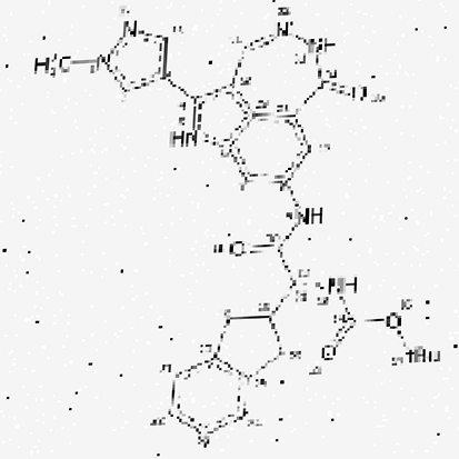 Cn1cc(-c2[nH]c3cc(NC(=O)[C@H](NC(=O)OC(C)(C)C)C4Cc5ccccc5C4)cc4c3c2C=NNC4=O)cn1